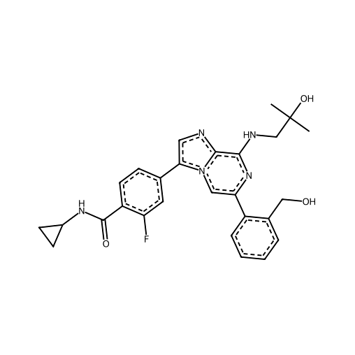 CC(C)(O)CNc1nc(-c2ccccc2CO)cn2c(-c3ccc(C(=O)NC4CC4)c(F)c3)cnc12